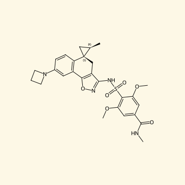 CNC(=O)c1cc(OC)c(S(=O)(=O)Nc2noc3c2C[C@]2(C[C@H]2C)c2ccc(N4CCC4)cc2-3)c(OC)c1